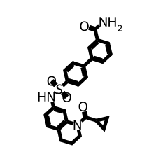 NC(=O)c1cccc(-c2ccc(S(=O)(=O)Nc3ccc4c(c3)N(C(=O)C3CC3)CCC4)cc2)c1